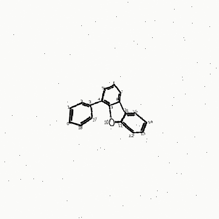 c1ccc(-c2cccc3c2oc2ccccc23)cc1